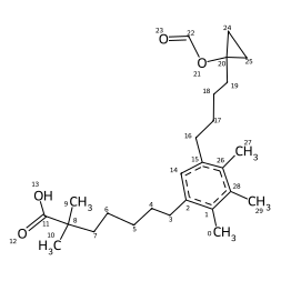 Cc1c(CCCCCC(C)(C)C(=O)O)cc(CCCCC2(OC=O)CC2)c(C)c1C